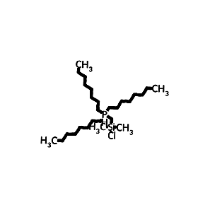 CCCCCCCC[PH](CCCCCCCC)(CCCCCCCC)C[Si](C)(C)Cl